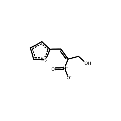 O=[N+]([O-])C(=Cc1cccs1)CO